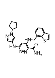 NC(=O)c1nnc(Nc2cnn(C3CCCC3)c2)cc1NCc1cccc2ccsc12